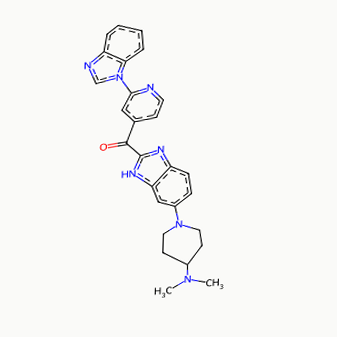 CN(C)C1CCN(c2ccc3nc(C(=O)c4ccnc(-n5cnc6ccccc65)c4)[nH]c3c2)CC1